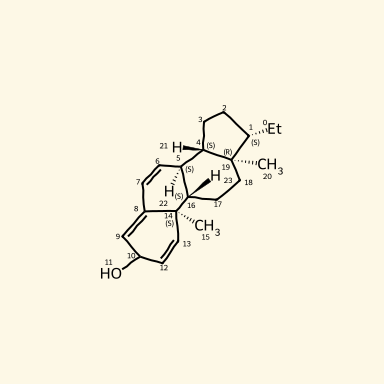 CC[C@H]1CC[C@H]2[C@@H]3C=CC4=CC(O)C=C[C@]4(C)[C@H]3CC[C@]12C